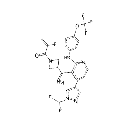 C=C(F)C(=O)N1CC(C(=N)c2c(-c3cnn(C(F)F)c3)ccnc2Nc2ccc(OC(F)(F)F)cc2)C1